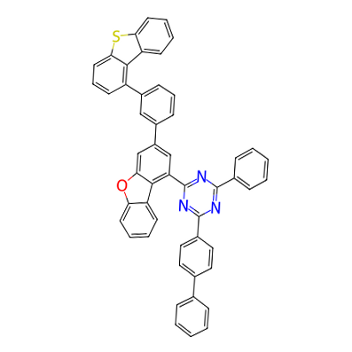 c1ccc(-c2ccc(-c3nc(-c4ccccc4)nc(-c4cc(-c5cccc(-c6cccc7sc8ccccc8c67)c5)cc5oc6ccccc6c45)n3)cc2)cc1